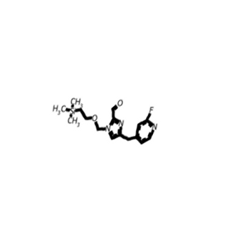 C[Si](C)(C)CCOCn1cc(Cc2ccnc(F)c2)nc1C=O